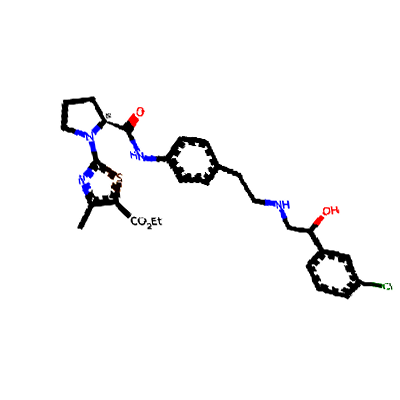 CCOC(=O)c1sc(N2CCC[C@H]2C(=O)Nc2ccc(CCNCC(O)c3cccc(Cl)c3)cc2)nc1C